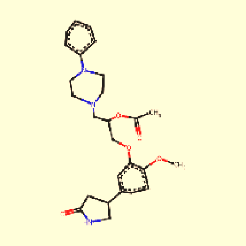 COc1ccc(C2CNC(=O)C2)cc1OCC(CN1CCN(c2ccccc2)CC1)OC(C)=O